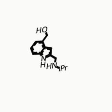 CC(C)NCc1cc2c(CO)cccc2[nH]1